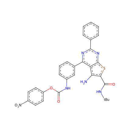 CC(C)(C)NC(=O)c1sc2nc(-c3ccccc3)nc(-c3cccc(NC(=O)Oc4ccc([N+](=O)[O-])cc4)c3)c2c1N